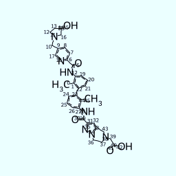 Cc1c(NC(=O)c2ccc(CN3CC[C@@H](O)C3)cn2)cccc1-c1cccc(NC(=O)c2cc3n(n2)CCN(CC(=O)O)C3)c1C